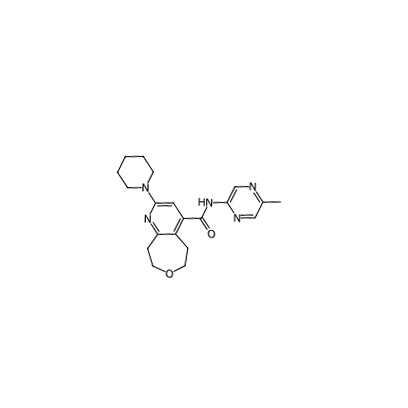 Cc1cnc(NC(=O)c2cc(N3CCCCC3)nc3c2CCOCC3)cn1